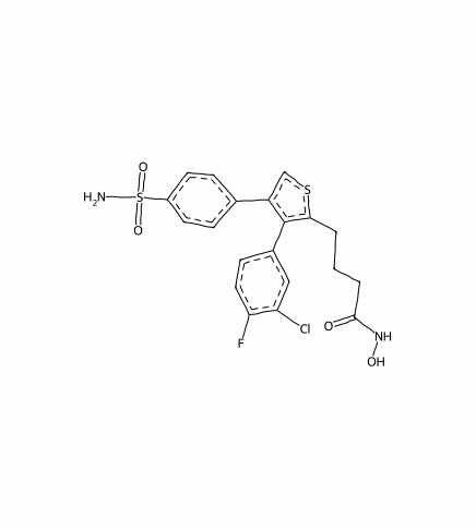 NS(=O)(=O)c1ccc(-c2csc(CCCC(=O)NO)c2-c2ccc(F)c(Cl)c2)cc1